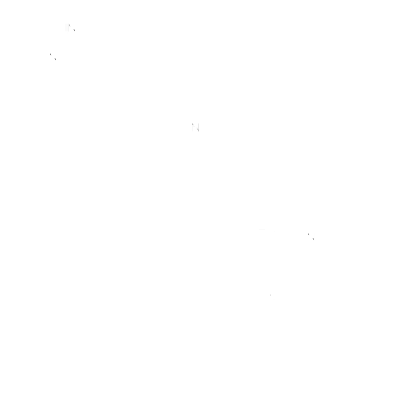 C[N+]1(Cc2ccc(N3CCC(c4cn[nH]c4)CC3)cc2)CCCC(c2ccccc2)S1(=O)=O